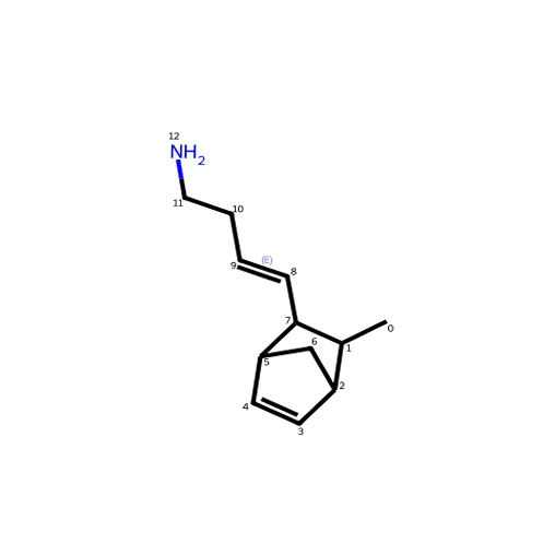 CC1C2C=CC(C2)C1/C=C/CCN